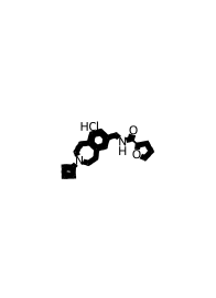 Cl.O=C(NCc1ccc2c(c1)CCN(C1=CC=C1)CC2)[C@H]1CCCO1